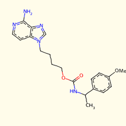 COc1ccc(C(C)NC(=O)OCCCCn2cnc3c(N)nccc32)cc1